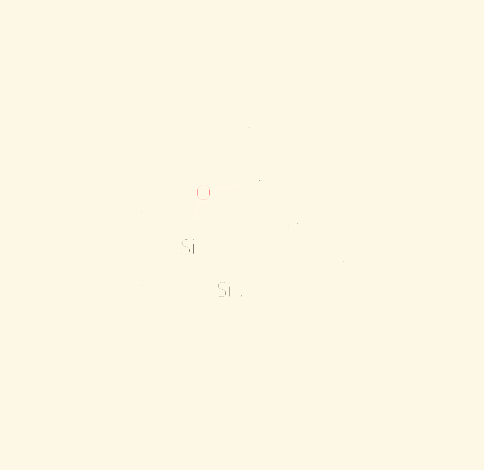 CC1(C)C[Si](C)(C)[Si](C)(C)OC1(C)C